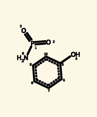 NP(=O)=O.Oc1ccccc1